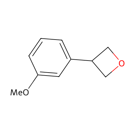 COc1cccc(C2COC2)c1